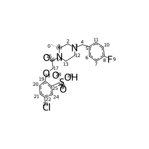 C[C@@H]1CN(Cc2ccc(F)cc2)CCN1C(=O)COc1ccc(Cl)cc1S(=O)(=O)O